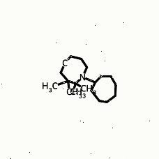 CC1(C)CCCCCN(C2CCCCCCC2)C1(C)C